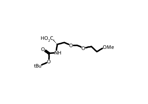 COCCOCOC[C@H](NC(=O)OC(C)(C)C)C(=O)O